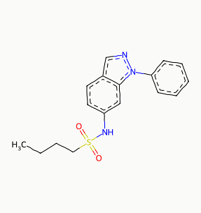 CCCCS(=O)(=O)Nc1ccc2cnn(-c3ccccc3)c2c1